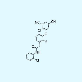 N#Cc1cc(C#N)cc(Oc2c(Cl)ccc(CC(=O)Nc3ccccc3Cl)c2F)c1